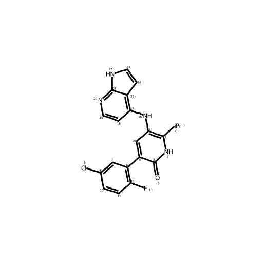 CC(C)c1[nH]c(=O)c(-c2cc(Cl)ccc2F)cc1Nc1ccnc2[nH]ccc12